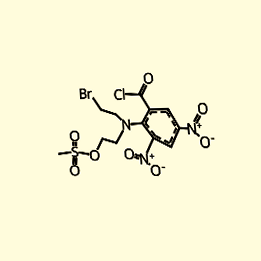 CS(=O)(=O)OCCN(CCBr)c1c(C(=O)Cl)cc([N+](=O)[O-])cc1[N+](=O)[O-]